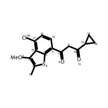 COc1c(C)sc2c(C(=O)CC(=O)C3CC3)ccc(Cl)c12